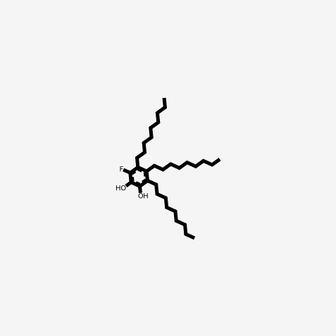 CCCCCCCCCc1c(O)c(O)c(F)c(CCCCCCCCC)c1CCCCCCCCC